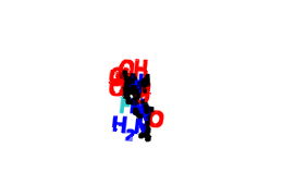 COc1c(N2CCN(C(=O)C(N)CC(C)C)C(C)C2)c(F)cc2c(=O)c(C(=O)O)cn(C3CC3)c12